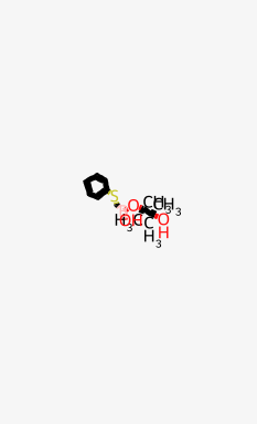 CC(C)(O)C(C)(C)OB(O)CSc1ccccc1